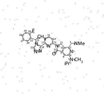 CNCc1nc(N(C)C(C)C)cc2c1CN(c1cccc(-c3nncn3C(C)c3ccccc3F)n1)C2=O